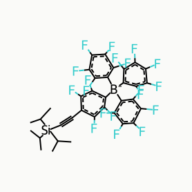 CC(C)[Si](C#Cc1c(F)c(F)c([B-](c2c(F)c(F)c(F)c(F)c2F)(c2c(F)c(F)c(F)c(F)c2F)c2c(F)c(F)c(F)c(F)c2F)c(F)c1F)(C(C)C)C(C)C